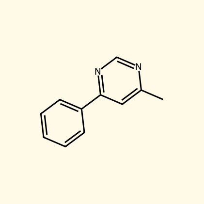 Cc1cc(-c2ccccc2)ncn1